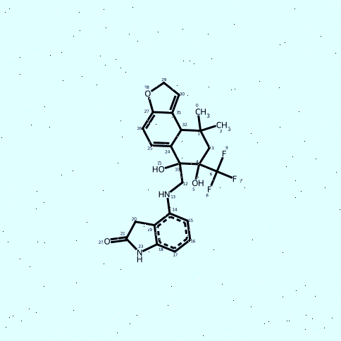 CC1(C)CC(O)(C(F)(F)F)C(O)(CNc2cccc3c2CC(=O)N3)C2=CC=C3OCC=C3C21